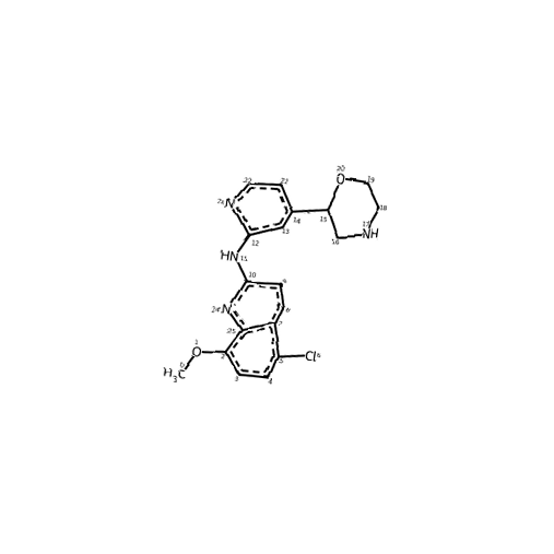 COc1ccc(Cl)c2ccc(Nc3cc(C4CNCCO4)ccn3)nc12